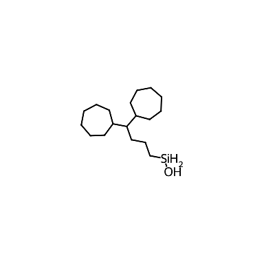 O[SiH2]CCCC(C1CCCCCC1)C1CCCCCC1